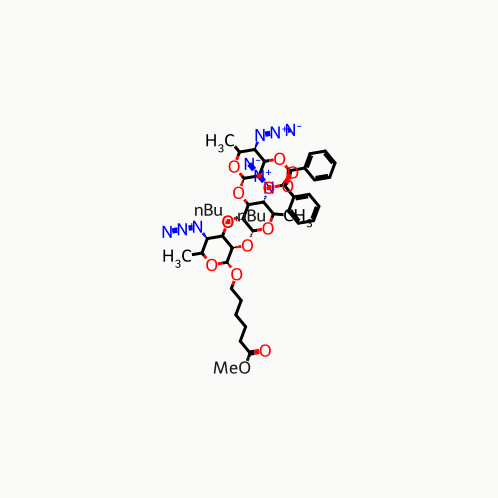 CCCCOC1[C@H](N=[N+]=[N-])C(C)O[C@H](OCCCCCC(=O)OC)[C@@H]1O[C@H]1OC(C)[C@@H](N=[N+]=[N-])C(O[C@H]2OC(C)[C@@H](N=[N+]=[N-])C(OC(=O)c3ccccc3)[C@H]2OC(=O)c2ccccc2)[C@H]1OCCCC